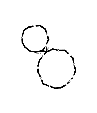 OC1(C2(O)CCCCCCCCCCCCC2)CCCCCCCCCCCCCCCCCCC1